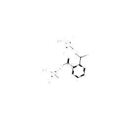 CC(C)c1ccccc1C(N)=O.CS(=O)(=O)O.CS(=O)(=O)O